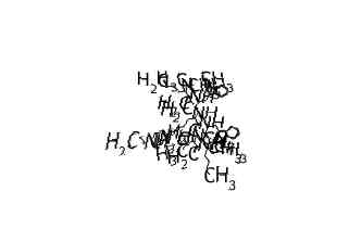 C=CCCC(C(=C)NC(Cc1cn(C)c2ccccc12)C(=C)NC(CCCCN1CCN(CC=C)CC1)C(=C)NC(Cc1cn(C)c2ccccc12)C(=C)NC(C(=C)NC(C)CCCC)C(C)C)N(C)C